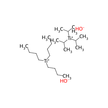 CCC[CH2][Ti+]([CH2]CCC)[CH2]CCC.C[CH](C)[Ti+]([CH](C)C)[CH](C)C.[OH-].[OH-]